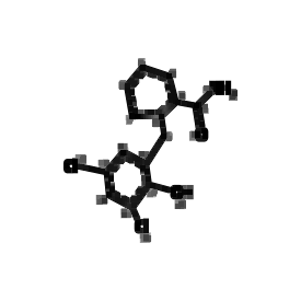 NC(=O)c1ccccc1Cc1cc(Cl)cc(Cl)c1O